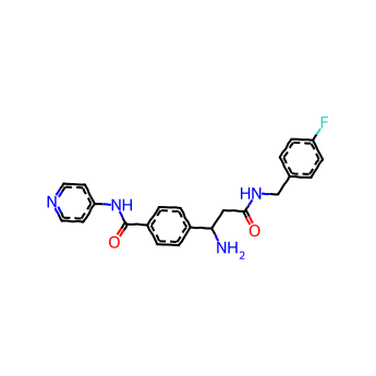 NC(CC(=O)NCc1ccc(F)cc1)c1ccc(C(=O)Nc2ccncc2)cc1